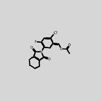 CC(=O)OC=C1CC(N2C(=O)C3=C(CCCC3)C2=O)=C(F)C=C1Cl